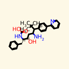 CC(C)(C)C(c1ccc(-c2ccccn2)cc1)C(N)C[C@H](O)[C@H](Cc1ccccc1)NC(=O)O